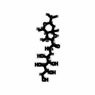 CC(C)C1CC2(C)OC(C(=O)NCC(O)C(O)C(O)C(O)CO)N(C)C2C(C)O1